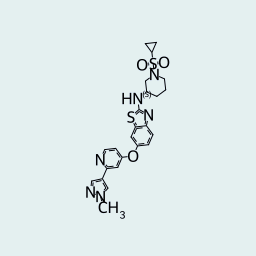 Cn1cc(-c2cc(Oc3ccc4nc(N[C@H]5CCCN(S(=O)(=O)C6CC6)C5)sc4c3)ccn2)cn1